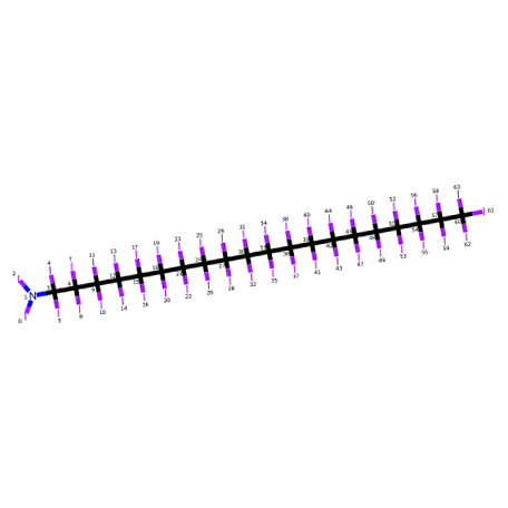 IN(I)C(I)(I)C(I)(I)C(I)(I)C(I)(I)C(I)(I)C(I)(I)C(I)(I)C(I)(I)C(I)(I)C(I)(I)C(I)(I)C(I)(I)C(I)(I)C(I)(I)C(I)(I)C(I)(I)C(I)(I)C(I)(I)C(I)(I)C(I)(I)I